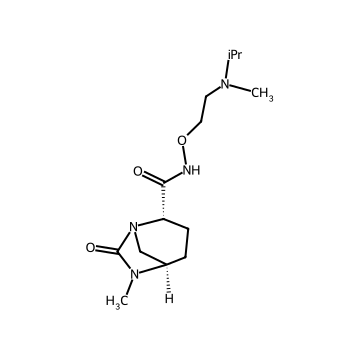 CC(C)N(C)CCONC(=O)[C@@H]1CC[C@@H]2CN1C(=O)N2C